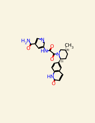 C[C@@H]1CC[C@@H](c2ccc3[nH]c(=O)ccc3c2)N(C(=O)C(=O)Nc2cncc(C(N)=O)c2)C1